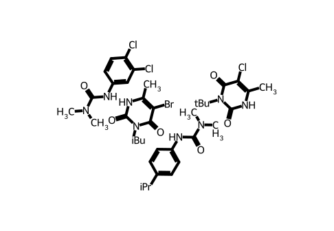 CC(C)c1ccc(NC(=O)N(C)C)cc1.CCC(C)n1c(=O)[nH]c(C)c(Br)c1=O.CN(C)C(=O)Nc1ccc(Cl)c(Cl)c1.Cc1[nH]c(=O)n(C(C)(C)C)c(=O)c1Cl